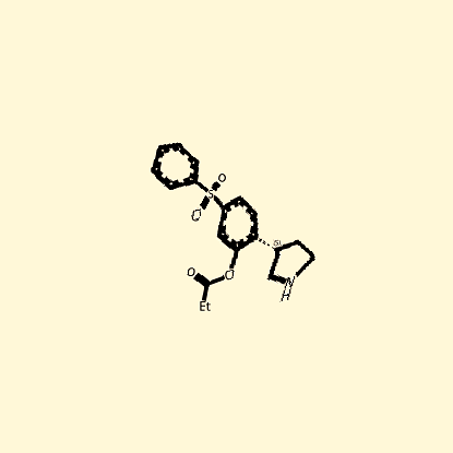 CCC(=O)Oc1cc(S(=O)(=O)c2ccccc2)ccc1[C@@H]1CCNC1